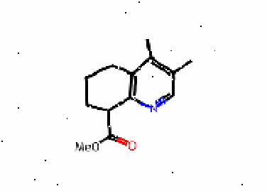 COC(=O)C1CCCc2c1ncc(C)c2C